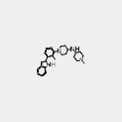 Cc1c(-c2cc3ccccc3[nH]2)cccc1N1CCC(NC2CCN(C)CC2)CC1